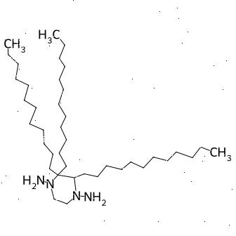 CCCCCCCCCCCCC1N(N)CCN(N)C1(CCCCCCCCCCCC)CCCCCCCCCCCC